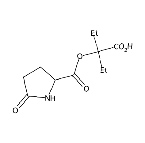 CCC(CC)(OC(=O)C1CCC(=O)N1)C(=O)O